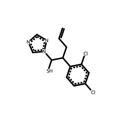 C=CCC(c1ccc(Cl)cc1Cl)C(S)n1cncn1